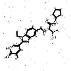 CCn1c(-c2c[nH]c(=O)c(C)c2)nc2cc(CN[C@H](C(=O)OC3CCCC3)[C@@H](C)O)ccc21